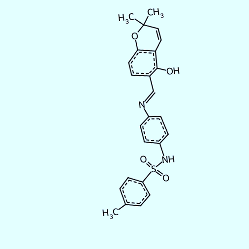 Cc1ccc(S(=O)(=O)Nc2ccc(/N=C/c3ccc4c(c3O)C=CC(C)(C)O4)cc2)cc1